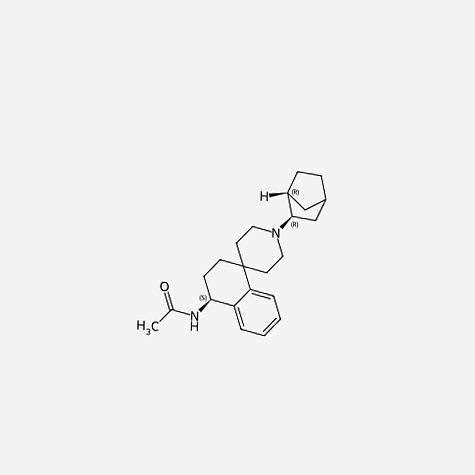 CC(=O)N[C@H]1CCC2(CCN([C@@H]3CC4CC[C@@H]3C4)CC2)c2ccccc21